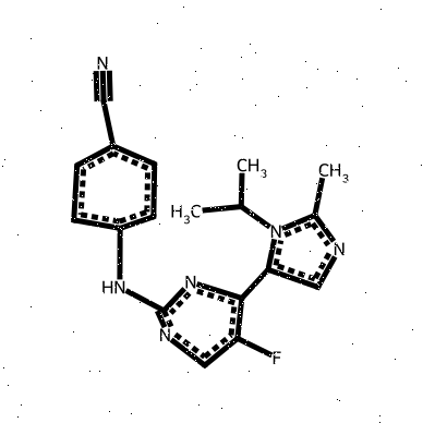 Cc1ncc(-c2nc(Nc3ccc(C#N)cc3)ncc2F)n1C(C)C